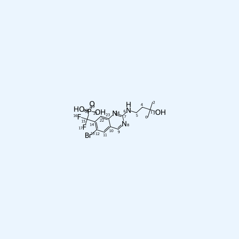 CC(C)(O)CCNc1ncc2cc(Br)c(C(F)(F)P(=O)(O)O)cc2n1